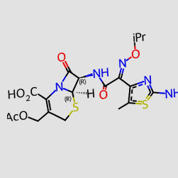 CC(=O)OCC1=C(C(=O)O)N2C(=O)[C@@H](NC(=O)C(=NOC(C)C)c3nc(N)sc3C)[C@H]2SC1